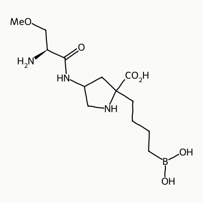 COC[C@H](N)C(=O)NC1CNC(CCCCB(O)O)(C(=O)O)C1